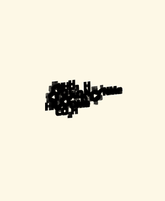 CNCc1cccc(NC(=O)OC[C@H](C)c2ccc(C(Nc3ccc4cc[nH]c(=O)c4c3)C(=O)O)cc2OC)c1